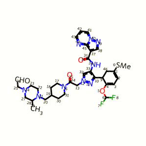 CSC1=CC=C(OC(F)F)C(c2nn(CC(=O)N3CCC(CN4CCN(CC=O)CC4C)CC3)cc2NC(=O)c2cnn3cccnc23)C1